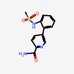 CS(=O)(=O)Nc1ccccc1-c1ccc(C(N)=O)nc1